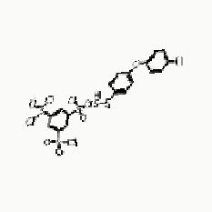 O=S(=O)(Cl)c1cc(S(=O)(=O)Cl)cc(S(=O)(=O)Cl)c1.SSc1ccc(Oc2ccc(Cl)cc2)cc1